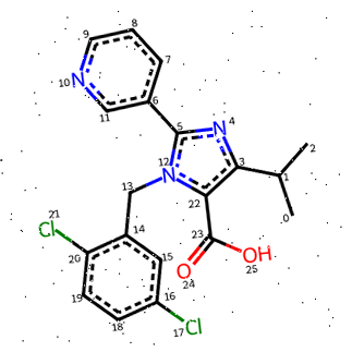 CC(C)c1nc(-c2cccnc2)n(Cc2cc(Cl)ccc2Cl)c1C(=O)O